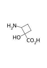 NC1CCC1(O)C(=O)O